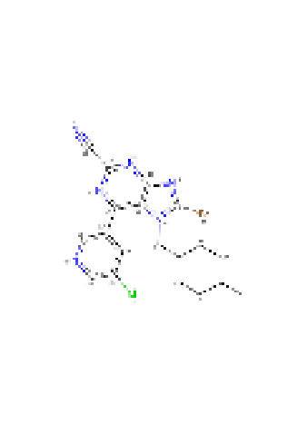 CC1CCC(Cn2c(Br)nc3nc(C#N)nc(-c4cncc(Cl)c4)c32)CC1